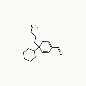 CCCCC1(C2CCCCC2)C=CC(C=O)=CC1